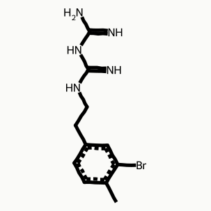 Cc1ccc(CCNC(=N)NC(=N)N)cc1Br